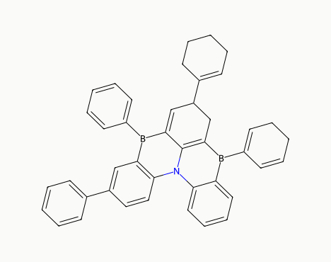 C1=CC(B2C3=C4C(=CC(C5=CCCCC5)C3)B(c3ccccc3)c3cc(-c5ccccc5)ccc3N4c3ccccc32)=CCC1